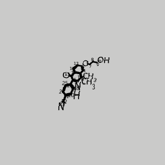 CC1(C)c2cc(OCCCO)ccc2C(=O)c2c1[nH]c1cc(C#N)ccc21